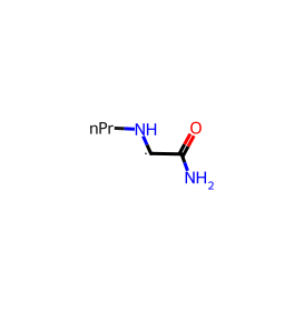 CCCN[CH]C(N)=O